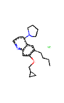 CCCCc1cc2c(N3CCCC3)ccnc2cc1OCC1CC1.Cl